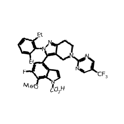 CCc1cccc(CC)c1-n1nc2c(c1-c1cc(F)c(OC)c3c1ccn3C(=O)O)CN(c1ncc(C(F)(F)F)cn1)CC2